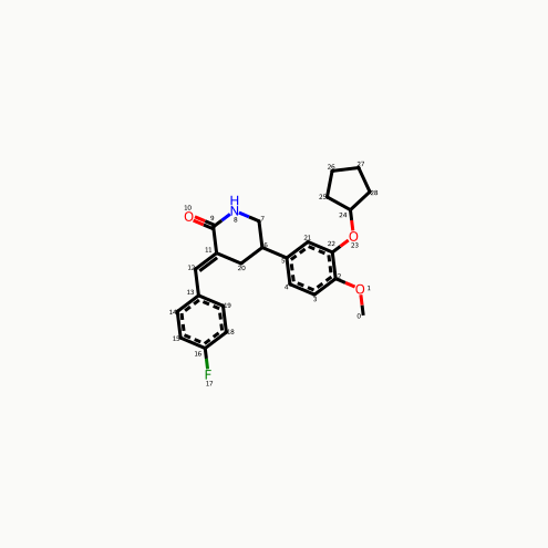 COc1ccc(C2CNC(=O)C(=Cc3ccc(F)cc3)C2)cc1OC1CCCC1